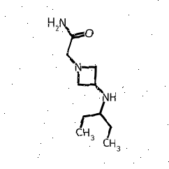 CCC(CC)NC1CN(CC(N)=O)C1